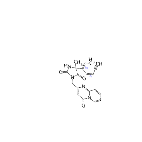 C#C/C=C\C(=C/C)C1(C)NC(=O)N(Cc2cc(=O)n3ccccc3n2)C1=O